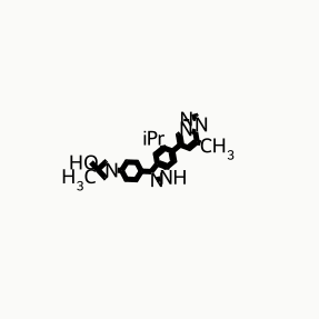 Cc1cc(-c2cc3[nH]nc(C4CCC(N5CC(C)(O)C5)CC4)c3cc2C(C)C)cn2ncnc12